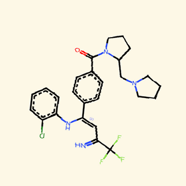 N=C(/C=C(\Nc1ccccc1Cl)c1ccc(C(=O)N2CCCC2CN2CCCC2)cc1)C(F)(F)F